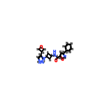 O=C(NC1CC(n2nncc2C2COC2)C1)c1cc(-c2ccccc2)no1